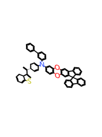 C=C(C1=CSC2=CC=CCC21)[C@H]1C=CC(N(c2cccc(-c3ccccc3)c2)c2ccc3c(c2)Oc2cc4c(cc2O3)C2(c3ccccc3-c3ccccc32)c2ccccc2-4)=CC1